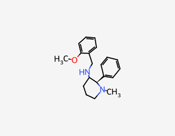 COc1ccccc1CN[C@@H]1CCCN(C)[C@@H]1c1ccccc1